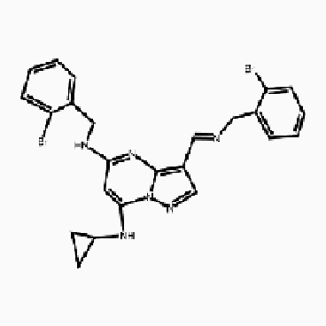 Brc1ccccc1CN=Cc1cnn2c(NC3CC3)cc(NCc3ccccc3Br)nc12